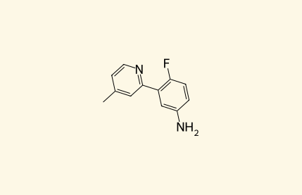 Cc1ccnc(-c2cc(N)ccc2F)c1